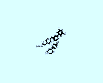 COC(=O)CC1CCN(Cc2cc(Oc3cnc(N4CCNCC4)nc3)nc(-c3cc(Cl)cc(Cl)c3)c2)CC1